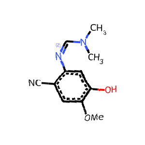 COc1cc(C#N)c(/N=C\N(C)C)cc1O